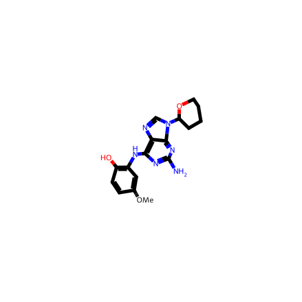 COc1ccc(O)c(Nc2nc(N)nc3c2ncn3C2CCCCO2)c1